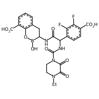 CCN1CCN(C(=O)NC(C(=O)NC2Cc3cccc(C(=O)O)c3OB2O)c2ccc(C(=O)O)c(F)c2F)C(=O)C1=O